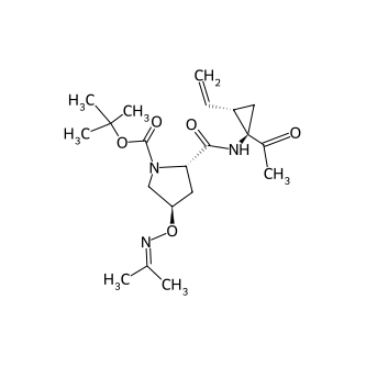 C=C[C@@H]1C[C@]1(NC(=O)[C@@H]1C[C@@H](ON=C(C)C)CN1C(=O)OC(C)(C)C)C(C)=O